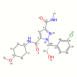 CNC(=O)c1cc(C(=O)NC2CCC(OC)CC2)n([C@@H](CO)c2cccc(Cl)c2)n1